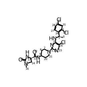 C[C@@H](Nc1nc(N2CCC(NC(=O)[C@H]3CN(C)C(=O)N3)CC2)ncc1Cl)c1ccc(Cl)cc1Cl